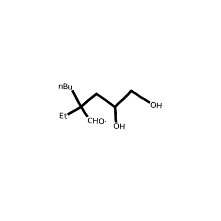 CCCCC([C]=O)(CC)CC(O)CO